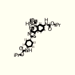 CC(C)OC(=O)Nc1ccc(-c2sc([C@H]3CC[C@H](NC(=O)OC(C)C)CC3)nc2F)c(S(=O)(=O)NC(C)(C)C)c1